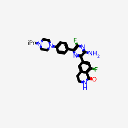 CC(C)N1CCN(c2ccc(-c3nc(-c4cc(F)c5c(c4)CCNC5=O)c(N)nc3F)cc2)CC1